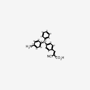 N#C/C(=C\c1ccc(N(c2ccccc2)c2ccc(N)cc2)cc1)C(=O)O